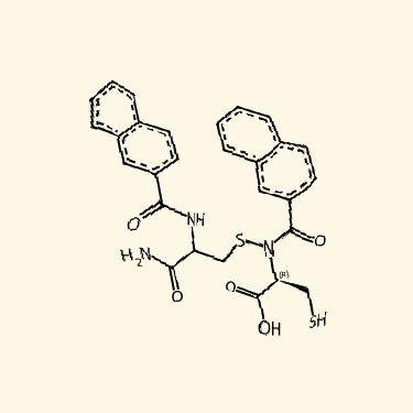 NC(=O)C(CSN(C(=O)c1ccc2ccccc2c1)[C@@H](CS)C(=O)O)NC(=O)c1ccc2ccccc2c1